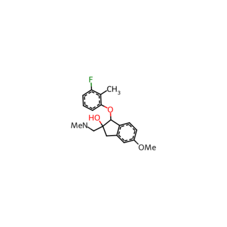 CNCC1(O)Cc2cc(OC)ccc2C1Oc1cccc(F)c1C